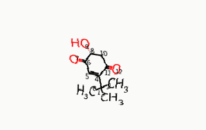 CC(C)(C)C1=CC(=O)[C@H](O)CC1=O